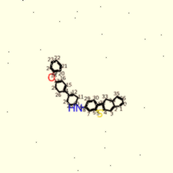 C1=CC2=Cc3sc4cc(NC5CC=C(C6=CC=C(Oc7ccccc7)CC6)CC5)ccc4c3CC2C=C1